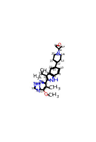 COc1c(C)c(-c2[nH]c3ccc(C4CCN(C5COC5)CC4)cc3c2C(C)C)nn2ncnc12